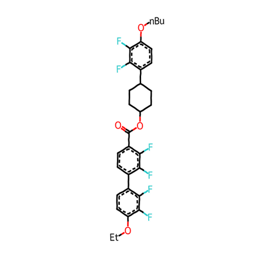 CCCCOc1ccc(C2CCC(OC(=O)c3ccc(-c4ccc(OCC)c(F)c4F)c(F)c3F)CC2)c(F)c1F